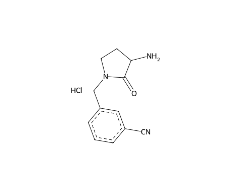 Cl.N#Cc1cccc(CN2CCC(N)C2=O)c1